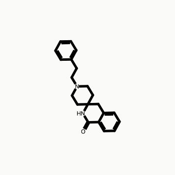 O=C1NC2(CCN(CCc3ccccc3)CC2)Cc2ccccc21